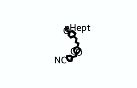 CCCCCCCOc1ccc(CCCC2COC(Cc3ccc(C#N)cc3)OC2)cc1